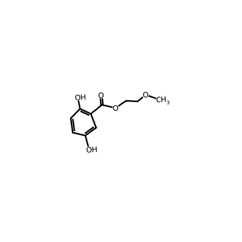 COCCOC(=O)c1cc(O)ccc1O